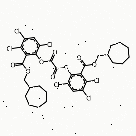 O=C(Oc1c(Cl)cc(Cl)c(Cl)c1C(=O)OCC1CCCCCC1)C(=O)Oc1c(Cl)cc(Cl)c(Cl)c1C(=O)OCC1CCCCCC1